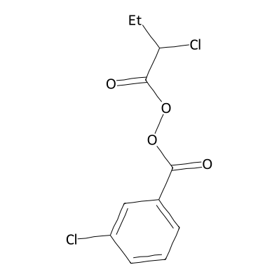 CCC(Cl)C(=O)OOC(=O)c1cccc(Cl)c1